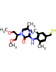 COCC(COC)n1cc(C)nc(Nc2c(C)cc(CS)cc2C)c1=O